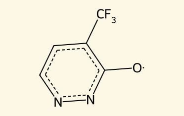 [O]c1nnccc1C(F)(F)F